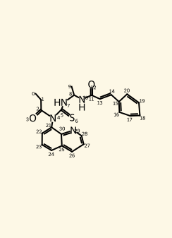 CCC(=O)N(C(=S)NC(C)NC(=O)/C=C/c1ccccc1)c1cccc2cccnc12